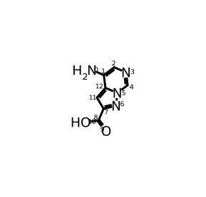 Nc1cncn2nc(C(=O)O)cc12